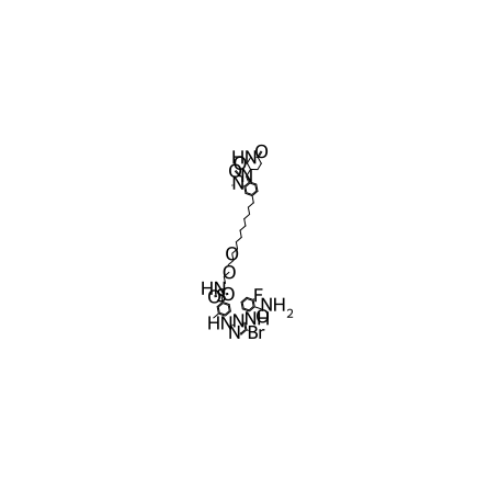 Cc1cc(S(=O)(=O)NCCOCCOCCCCCCCCCc2ccc3c(c2)n(C)c(=O)n3C2CCC(=O)NC2=O)ccc1Nc1ncc(Br)c(Nc2cccc(F)c2C(N)=O)n1